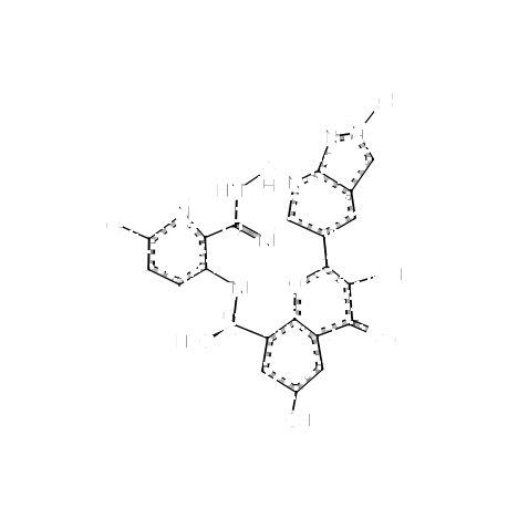 Cc1cc([C@@H](C)Nc2ccc(Cl)nc2C(=N)NO)c2oc(-c3cnc4nn(C)cc4c3)c(C)c(=O)c2c1